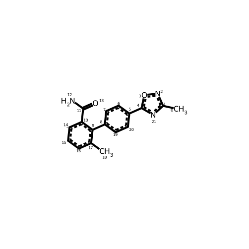 Cc1noc(-c2ccc(-c3c(C(N)=O)[c]ccc3C)cc2)n1